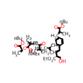 C=C(C)C(=O)O.C=C(C)C(=O)OC.C=C(C)C(=O)OCCCC.C=C(CC)C(=O)OCCCCCC.C=CC(=O)OCCCC.CCOC(=O)C(C=Cc1ccccc1)=CO